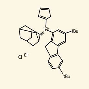 CC(C)(C)c1ccc2c(c1)-c1cc(C(C)(C)C)c[c]([Ti+2]([C]3=CC=CC3)=[C]3C4CC5CC(C4)CC3C5)c1C2.[Cl-].[Cl-]